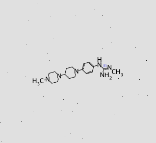 C/N=C(\N)Nc1ccc(N2CCC(N3CCN(C)CC3)CC2)cc1